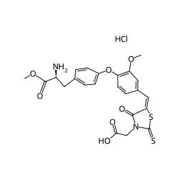 COC(=O)[C@@H](N)Cc1ccc(Oc2ccc(C=C3SC(=S)N(CC(=O)O)C3=O)cc2OC)cc1.Cl